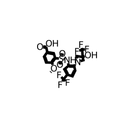 COc1ccc(C(=O)O)cc1S(=O)(=O)Nc1cc(C(F)(F)F)ccc1N1CC(O)(C(F)(F)F)C1